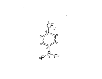 FB(F)c1ccc(C(F)(F)F)cc1